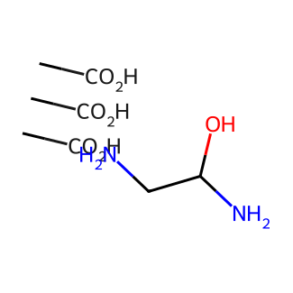 CC(=O)O.CC(=O)O.CC(=O)O.NCC(N)O